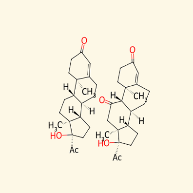 CC(=O)[C@@]1(O)CC[C@H]2[C@@H]3CCC4=CC(=O)CC[C@]4(C)[C@H]3C(=O)C[C@@]21C.CC(=O)[C@@]1(O)CC[C@H]2[C@@H]3CCC4=CC(=O)CC[C@]4(C)[C@H]3CC[C@@]21C